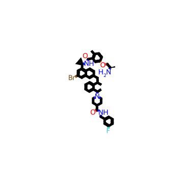 Cc1ccc(OC[C@@H](C)N)cc1C(=O)NC1(c2cc(Br)cc3cc(CC(C)c4ccccc4C(C)N4CCC(C(=O)NCc5cccc(F)c5)CC4)ccc23)CC1